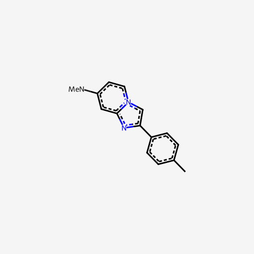 CNc1ccn2cc(-c3ccc(C)cc3)nc2c1